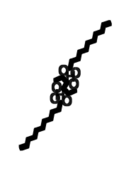 C=CCCCCCCCCC(=O)O[C@H]1CO[C@H]2[C@@H]1OC[C@H]2OC(=O)CCCCCCCCC=C